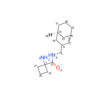 NC1(C(=O)NCC2C=C3CCC[C@@H](C3)C2)CCC1